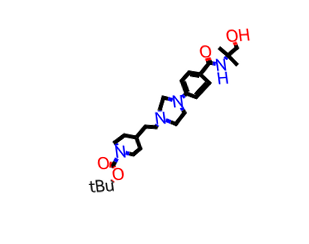 CC(C)(CO)NC(=O)c1ccc(N2CCN(CCC3CCN(C(=O)OC(C)(C)C)CC3)CC2)cc1